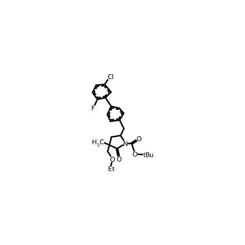 CCOCC1(C)CC(Cc2ccc(-c3cc(Cl)ccc3F)cc2)N(C(=O)OC(C)(C)C)C1=O